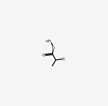 CCCOC(=O)C(C)[S]